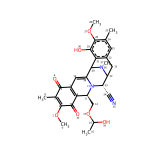 COC1=C(C)C(=O)C2=C(C1=O)[C@H](COC(C)O)N1C(=C2)C2c3c(cc(C)c(OC)c3O)CC([C@@H]1C#N)N2C